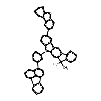 CC1(C)c2ccccc2-c2cc3c4cc(-c5ccc6sc7ccccc7c6c5)ccc4n(-c4cccc(-c5ccc6c7c(cccc57)-c5ccccc5-6)c4)c3cc21